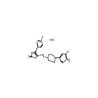 Cl.O=c1oc(CCN2CCN(c3ccc(Cl)c(Cl)c3)CC2)c(-c2ccc(F)cc2)o1